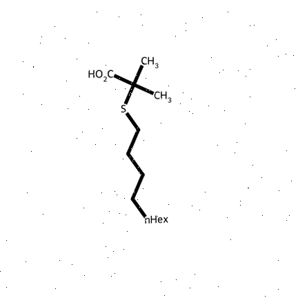 CCCCCCCCCCSC(C)(C)C(=O)O